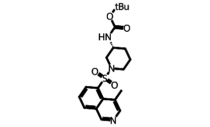 Cc1cncc2cccc(S(=O)(=O)N3CCC[C@@H](NC(=O)OC(C)(C)C)C3)c12